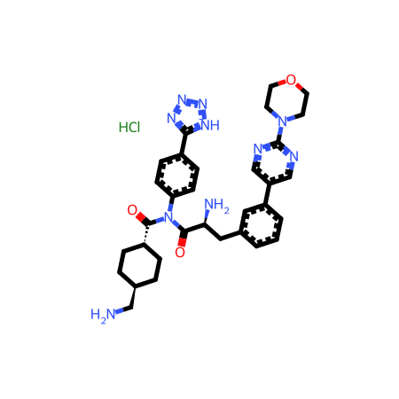 Cl.NC[C@H]1CC[C@H](C(=O)N(C(=O)[C@@H](N)Cc2cccc(-c3cnc(N4CCOCC4)nc3)c2)c2ccc(-c3nnn[nH]3)cc2)CC1